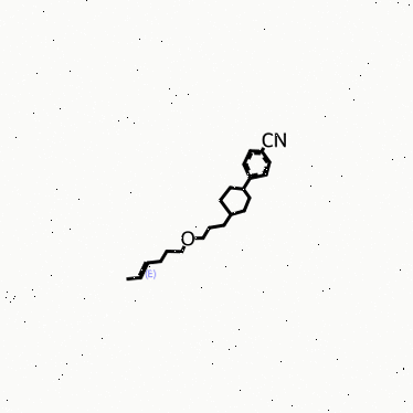 C/C=C/CCCOCCCC1CCC(c2ccc(C#N)cc2)CC1